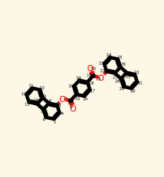 O=C(Oc1cccc2c1-c1ccccc1-2)c1ccc(C(=O)Oc2cccc3c2-c2ccccc2-3)cc1